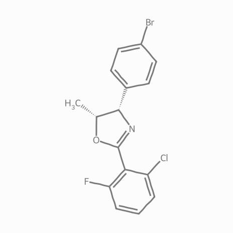 C[C@H]1OC(c2c(F)cccc2Cl)=N[C@H]1c1ccc(Br)cc1